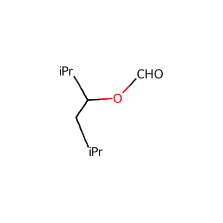 CC(C)CC(OC=O)C(C)C